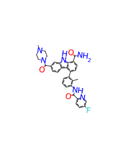 Cc1c(NC(=O)c2ccc(F)cn2)cccc1-c1ccc(C(N)=O)c2[nH]c3cc(C(=O)N4CCN(C)CC4)ccc3c12